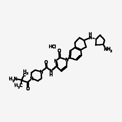 CC(C)(N)C(=O)N1CCN(C(=O)Nc2ccn(-c3ccc4c(c3)CCC(N[C@@H]3CC[C@@H](N)C3)C4)c(=O)n2)CC1.Cl